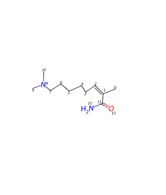 CC(=CCCCCCN(C)C)C(N)=O